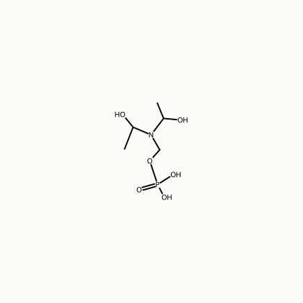 CC(O)N(COP(=O)(O)O)C(C)O